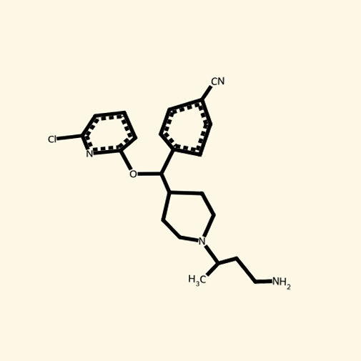 CC(CCN)N1CCC(C(Oc2cccc(Cl)n2)c2ccc(C#N)cc2)CC1